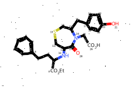 CCOC(=O)C(CCc1ccccc1)NC1CSCC(Cc2ccc(O)cc2)N(CC(=O)O)C1=O